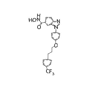 O=C(NO)c1ccc2ncn(-c3ccc(OCCCc4ccc(C(F)(F)F)cc4)cc3)c2c1